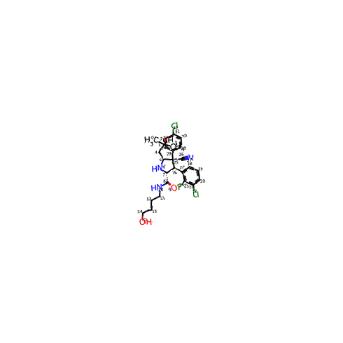 CC(C)(C)C[C@@H]1N[C@@H](C(=O)NCCCCO)[C@H](c2cccc(Cl)c2F)[C@@]1(C#N)c1ccc(Cl)cc1